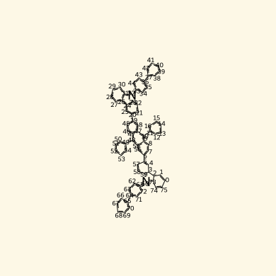 C1=CC2C3C=C(c4ccc5c(-c6ccccc6)c6cc(-c7ccc8c(c7)c7ccccc7n8-c7ccc(-c8ccccc8)cc7)ccc6c(-c6ccccc6)c5c4)C=CC3N(c3ccc(-c4ccccc4)cc3)C2C=C1